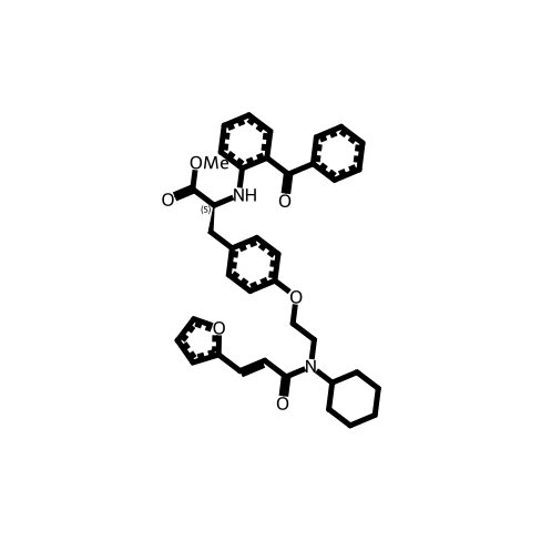 COC(=O)[C@H](Cc1ccc(OCCN(C(=O)C=Cc2ccco2)C2CCCCC2)cc1)Nc1ccccc1C(=O)c1ccccc1